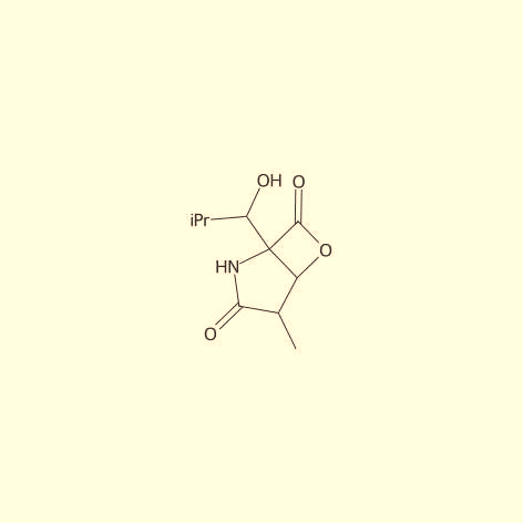 CC(C)C(O)C12NC(=O)C(C)C1OC2=O